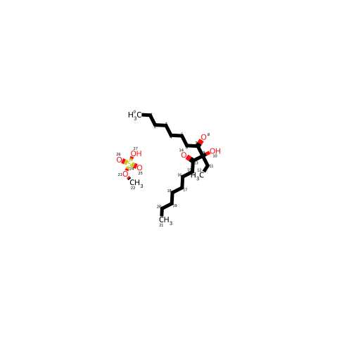 CCCCCCCC(=O)C(O)(CC)C(=O)CCCCCCC.COS(=O)(=O)O